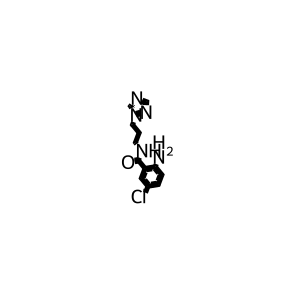 Nc1ccc(Cl)cc1C(=O)NCCCn1cncn1